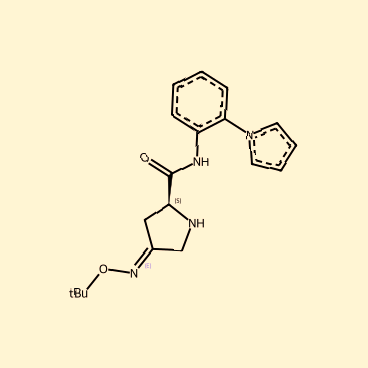 CC(C)(C)O/N=C1/CN[C@H](C(=O)Nc2ccccc2-n2cccc2)C1